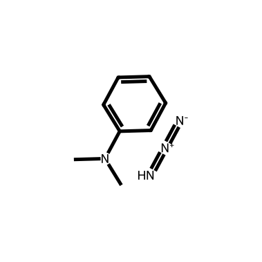 CN(C)c1ccccc1.[N-]=[N+]=N